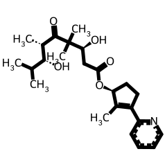 CC1=C(c2ccccn2)CC[C@@H]1OC(=O)C[C@H](O)C(C)(C)C(=O)[C@@H](C)[C@H](O)C(C)C